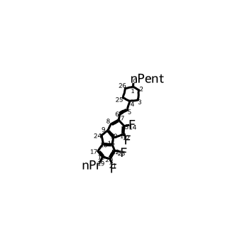 CCCCCC1CCC(/C=C/c2cc3c(c(F)c2F)-c2c(cc(CCC)c(F)c2F)C3)CC1